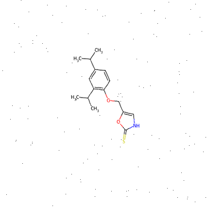 CC(C)c1ccc(OCc2c[nH]c(=S)o2)c(C(C)C)c1